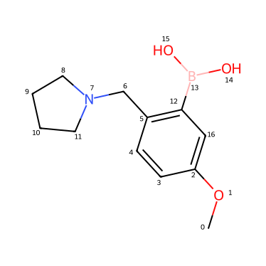 COc1ccc(CN2CCCC2)c(B(O)O)c1